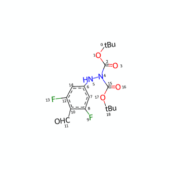 CC(C)(C)OC(=O)N(Nc1cc(F)c(C=O)c(F)c1)C(=O)OC(C)(C)C